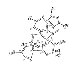 Cl.Cl.[CH2]=[Zr]([C]1=CC(C(C)(C)C)=CC1CCC)([c]1ccc(Cl)cc1)([c]1ccc(Cl)cc1)[c]1c(C(C)(C)C)ccc2c1Cc1cc(C(C)(C)C)ccc1-2